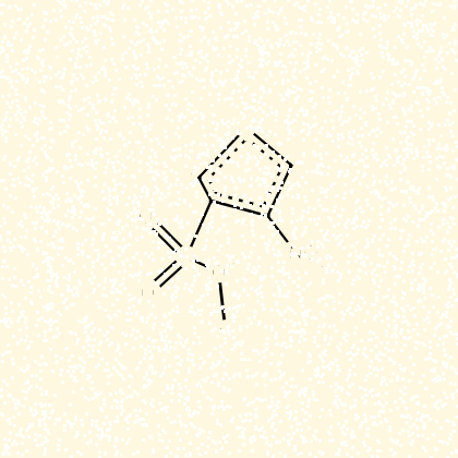 O=[N+]([O-])c1cscc1S(=O)(=O)OCl